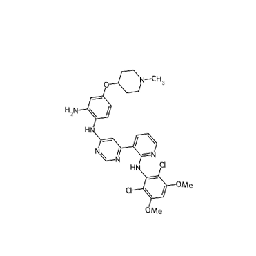 COc1cc(OC)c(Cl)c(Nc2ncccc2-c2cc(Nc3ccc(OC4CCN(C)CC4)cc3N)ncn2)c1Cl